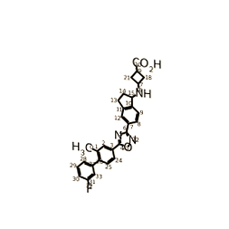 Cc1cc(-c2nc(-c3ccc4c(c3)CCC4NC3CC(C(=O)O)C3)no2)ccc1-c1cccc(F)c1